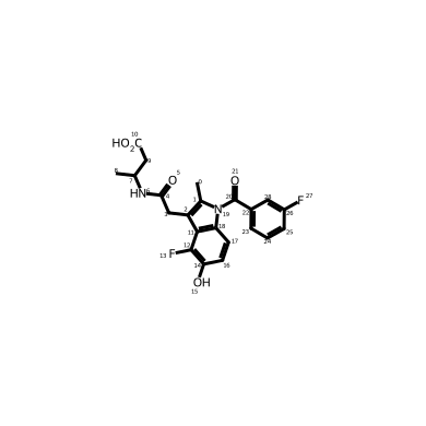 Cc1c(CC(=O)NC(C)CC(=O)O)c2c(F)c(O)ccc2n1C(=O)c1cccc(F)c1